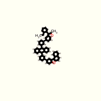 C=Cc1ccccc1-c1c(C)oc2ccc(-c3cccc(-c4c5ccccc5c(-c5cccc(-c6ccc7oc8ccc9ccccc9c8c7c6)c5)c5ccccc45)c3)cc12